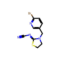 N#CN=C1SCCN1Cc1ccc(Br)nc1